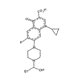 CCC(O)N1CCN(c2cc3c(cc2F)c(=O)c(C(=O)O)cn3C2CC2)CC1